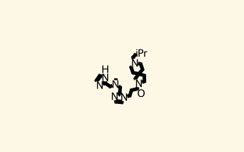 CC(C)CN1CCC2(CC1)CCN(C(=O)CCn1ccnc1CN(C)Cc1ncc[nH]1)C2